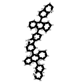 c1cnc2cc(-c3c4ccccc4c(-c4ccc5c(c4)sc4ccc(-c6c7ccccc7c(-c7ccc8cccnc8c7)c7ccccc67)cc45)c4ccccc34)ccc2c1